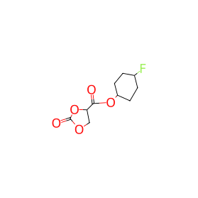 O=C1OCC(C(=O)OC2CCC(F)CC2)O1